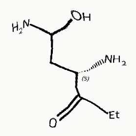 CCC(=O)[C@@H](N)CC(N)O